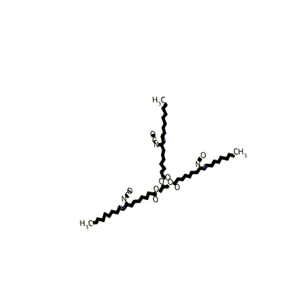 CCCCCCCC/C=C/C(CCCCCCC(=O)OCC(COC(=O)CCCCCCC(/C=C/CCCCCCCC)N=C=O)OC(=O)CCCCCCC(/C=C/CCCCCCCC)N=C=O)N=C=O